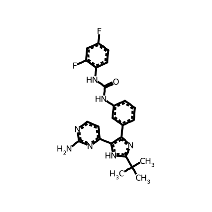 CC(C)(C)c1nc(-c2cccc(NC(=O)Nc3ccc(F)cc3F)c2)c(-c2ccnc(N)n2)[nH]1